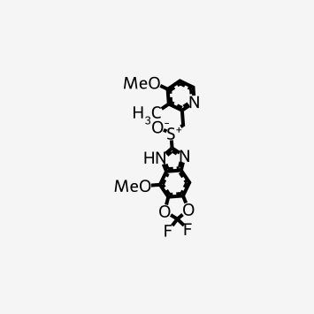 COc1ccnc(C[S+]([O-])c2nc3cc4c(c(OC)c3[nH]2)OC(F)(F)O4)c1C